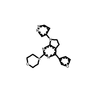 c1cc(N2CCc3c(-c4ccoc4)nc(N4CCOCC4)nc32)cnn1